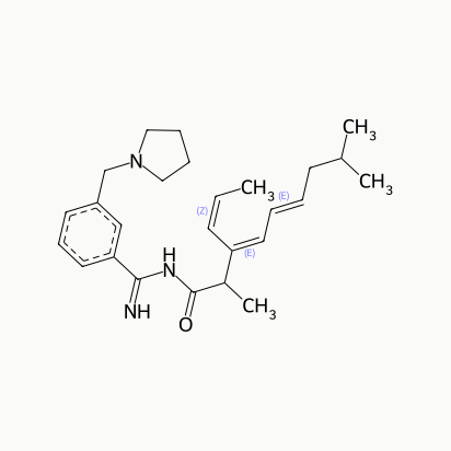 C\C=C/C(=C\C=C\CC(C)C)C(C)C(=O)NC(=N)c1cccc(CN2CCCC2)c1